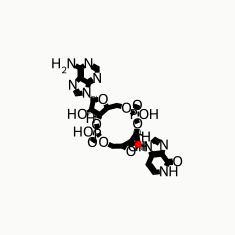 Nc1ncnc2c1ncn2[C@@H]1OC2COP(=O)(O)O[C@@H]3[C@H](O)C(COP(=O)(O)O[C@H]2[C@H]1O)O[C@H]3n1cnc2c(=O)[nH]ccc21